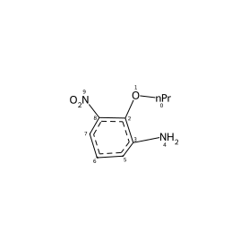 [CH2]CCOc1c(N)cccc1[N+](=O)[O-]